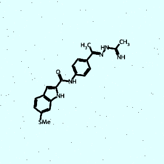 CSc1ccc2cc(C(=O)Nc3ccc(/C(C)=N/NC(C)=N)cc3)[nH]c2c1